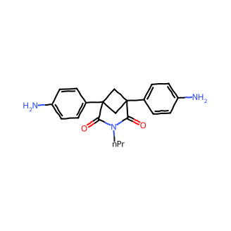 CCCN1C(=O)C2(c3ccc(N)cc3)CC(c3ccc(N)cc3)(C2)C1=O